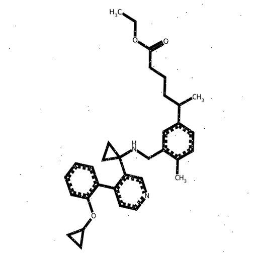 CCOC(=O)CCCC(C)c1ccc(C)c(CNC2(c3cnccc3-c3ccccc3OC3CC3)CC2)c1